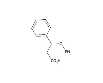 O=C(O)CC(OP)c1ccccc1